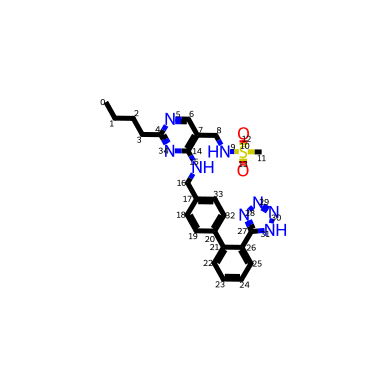 CCCCc1ncc(CNS(C)(=O)=O)c(NCc2ccc(-c3ccccc3-c3nnn[nH]3)cc2)n1